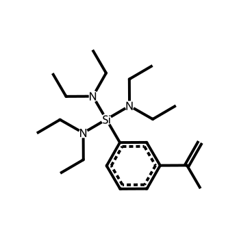 C=C(C)c1cccc([Si](N(CC)CC)(N(CC)CC)N(CC)CC)c1